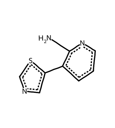 Nc1ncccc1-c1cncs1